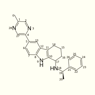 Cc1cnc(-c2ccc3[nH]c4c(c3c2)CCCC4N[C@H](C)c2ccccc2)cn1